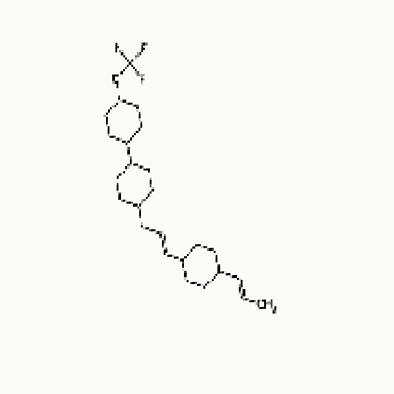 C/C=C/C1CCC(/C=C/CC2CCC(C3CCC(OC(F)(F)F)CC3)CC2)CC1